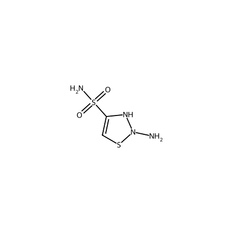 NN1NC(S(N)(=O)=O)=CS1